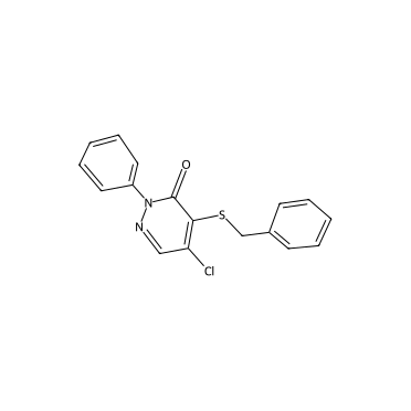 O=c1c(SCc2ccccc2)c(Cl)cnn1-c1ccccc1